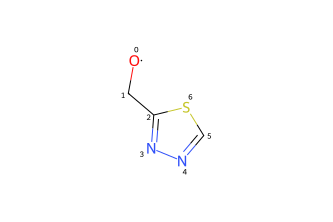 [O]Cc1nncs1